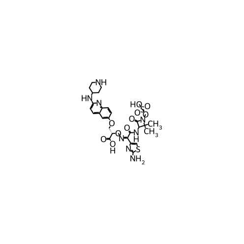 CC1(C)C(NC(=O)/C(=N\O[C@@H](COc2ccc3nc(NC4CCNCC4)ccc3c2)C(=O)O)c2csc(N)n2)C(=O)N1OS(=O)(=O)O